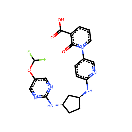 O=C(O)c1cccn(-c2ccc(N[C@H]3CC[C@H](Nc4ncc(OC(F)F)cn4)C3)nc2)c1=O